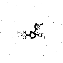 Cn1ccc(-c2cc(C(N)=O)ccc2C(F)(F)F)n1